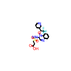 O=C(O)CCS(=O)(=O)NC1C=Nc2ccccc2N1OC(c1cccnc1)C(F)(F)F